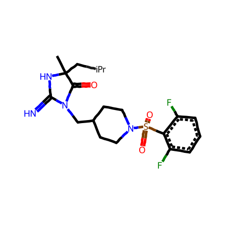 CC(C)CC1(C)NC(=N)N(CC2CCN(S(=O)(=O)c3c(F)cccc3F)CC2)C1=O